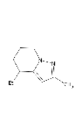 CCC1CCCn2nc(C)cc21